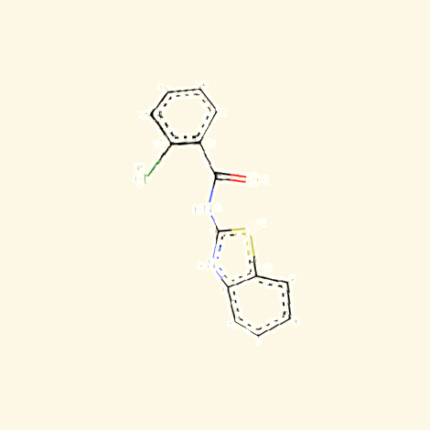 O=C(Nc1nc2ccccc2s1)c1ccccc1Cl